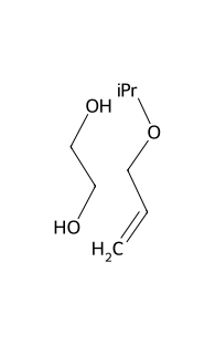 C=CCOC(C)C.OCCO